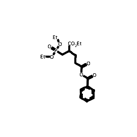 CCOC(=O)C(CCC(=O)OC(=O)c1ccccc1)CP(=O)(OCC)OCC